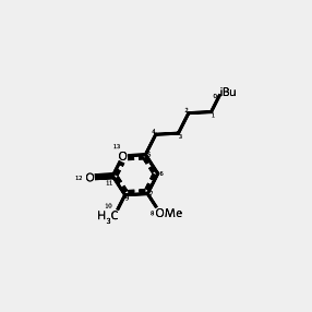 CCC(C)CCCCc1cc(OC)c(C)c(=O)o1